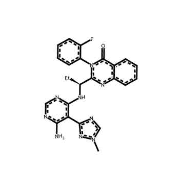 CC[C@H](Nc1ncnc(N)c1-c1ncn(C)n1)c1nc2ccccc2c(=O)n1-c1ccccc1F